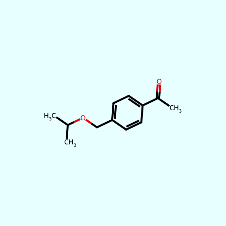 CC(=O)c1ccc(COC(C)C)cc1